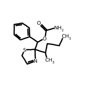 CCCC(C)C1(C(OC(N)=O)c2ccccc2)N=CCS1